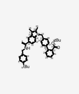 C=C(NCc1ccc(C(C)(C)C)cc1)c1ccc2c(c1)c(C)c(C)n2Cc1ccc(-c2ccccc2C(=O)OC(C)(C)C)cc1